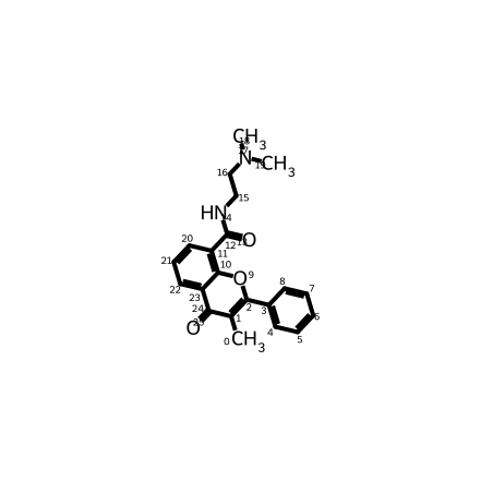 Cc1c(-c2ccccc2)oc2c(C(=O)NCCN(C)C)cccc2c1=O